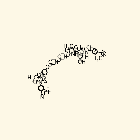 Cc1ncsc1-c1ccc([C@H](C)NC(=O)[C@@H]2C[C@@H](O)CN2C(=O)[C@@H](NC(=O)CN2CCO[C@H](CN3CCO[C@@H](COc4ccc(N5C(=S)N(c6ccc(C#N)c(C(F)(F)F)c6)C(=O)C5(C)C)cc4)C3)C2)C(C)(C)C)cc1